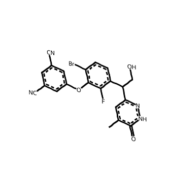 Cc1cc(C(CO)c2ccc(Br)c(Oc3cc(C#N)cc(C#N)c3)c2F)n[nH]c1=O